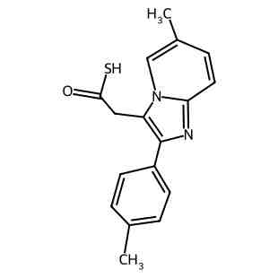 Cc1ccc(-c2nc3ccc(C)cn3c2CC(=O)S)cc1